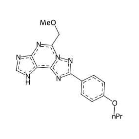 CCCOc1ccc(-c2nc3c4[nH]cnc4nc(COC)n3n2)cc1